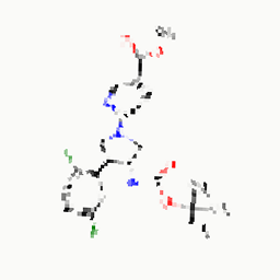 COC(=O)c1ccc(N2C[C@H](NC(=O)OC(C)(C)C)[C@@H](c3cc(F)ccc3F)C2)nc1